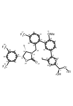 CCO[C@@H](O)c1nc(-c2ccc(OC)c(-c3ccc(C(F)(F)F)cc3CN3C(=O)O[C@H](c4cc(C(F)(F)F)cc(C(F)(F)F)c4)[C@@H]3C)c2)c(C)s1